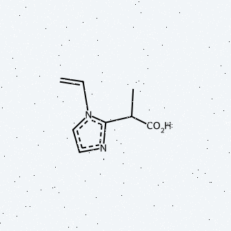 C=Cn1ccnc1C(C)C(=O)O